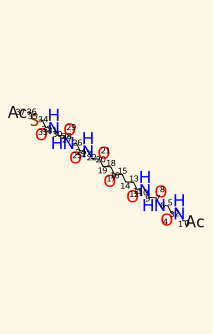 CC(=O)CNC(=O)CNC(=O)CNC(=O)CCCC(=O)CCC(=O)CNC(=O)CNC(=O)CNC(=O)CSCC(C)=O